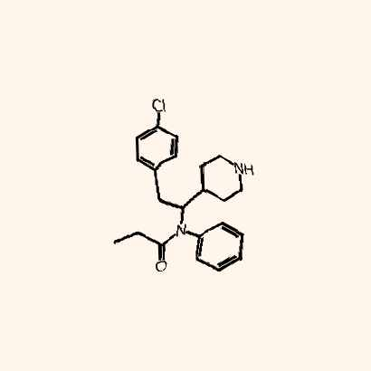 CCC(=O)N(c1ccccc1)C(Cc1ccc(Cl)cc1)C1CCNCC1